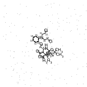 CC(C)(C)OC(=O)N[C@H](COc1ccccc1N(CCCl)CCCl)C(C(=O)O)C(C)(C)C